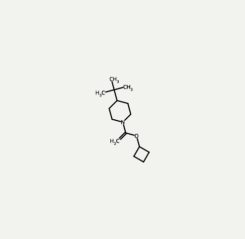 C=C(OC1CCC1)N1CCC(C(C)(C)C)CC1